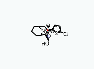 O=C1CC2CCCC(/C1=C\O)N2S(=O)(=O)c1ccc(Cl)s1